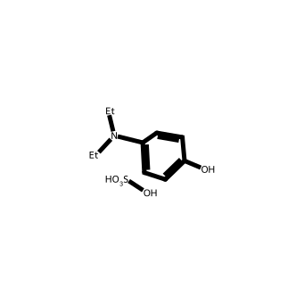 CCN(CC)c1ccc(O)cc1.O=S(=O)(O)O